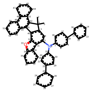 CC1(C)c2cc(N(c3ccc(-c4ccccc4)cc3)c3ccc(-c4ccccc4)cc3)c3c(oc4ccccc43)c2-c2c1c1ccccc1c1ccccc21